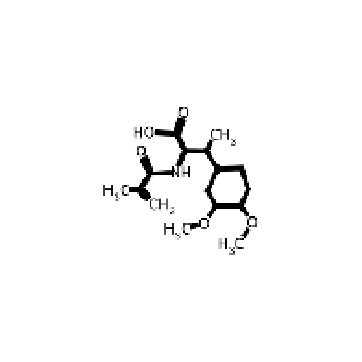 C=C(C)C(=O)NC(C(=O)O)C(C)C1CCC(OC)C(OC)C1